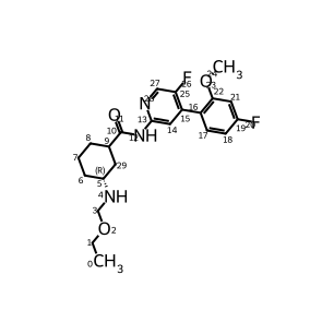 CCOCN[C@@H]1CCCC(C(=O)Nc2cc(-c3ccc(F)cc3OC)c(F)cn2)C1